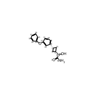 NC(=O)N(O)[C@H]1C[C@H](c2cccc(Oc3ccccc3)c2)C1